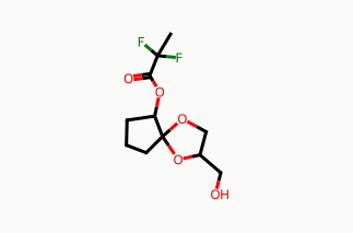 CC(F)(F)C(=O)OC1CCCC12OCC(CO)O2